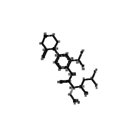 CCN(CC(F)F)[C@H](CN)C(=O)Nc1ccc(N2CCOCC2=O)cc1C(F)F